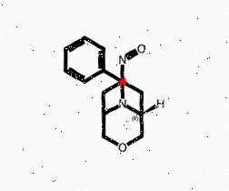 O=NC1CC2COC[C@@H](C1)N2Cc1ccccc1